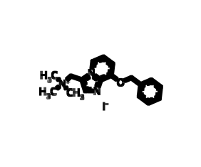 C[N+](C)(C)Cc1cnc2c(OCc3ccccc3)cccn12.[I-]